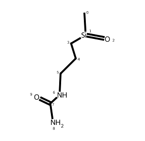 C[Si](=O)CCCNC(N)=O